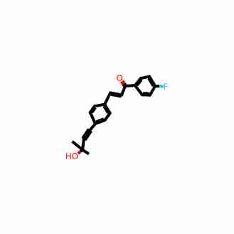 CC(C)(O)C#Cc1ccc(C=CC(=O)c2ccc(F)cc2)cc1